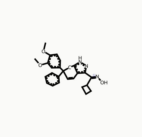 COc1ccc(C2(c3ccccc3)C=Cc3c(/C(=N/O)C4CCC4)n[nH]c3C2)cc1OC